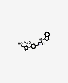 COc1cc(/C=C/C(=O)NC2CCc3ccccc32)ccc1-n1cnc(CO)c1